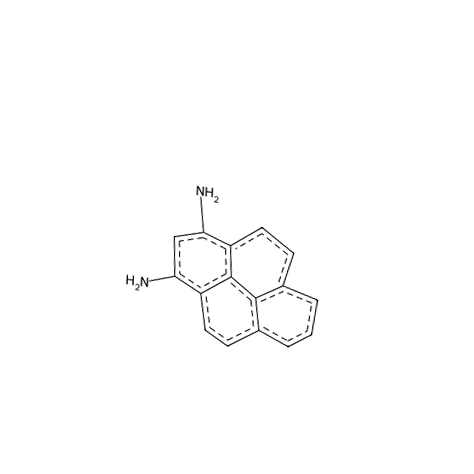 Nc1cc(N)c2ccc3cccc4ccc1c2c43